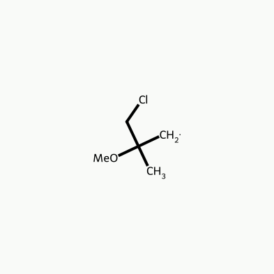 [CH2]C(C)(CCl)OC